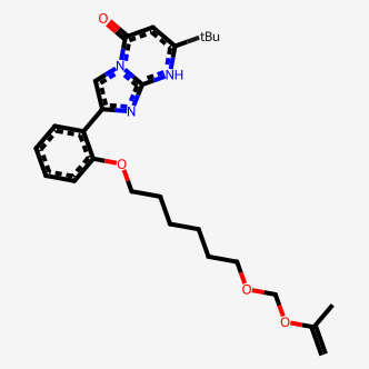 C=C(C)OCOCCCCCCOc1ccccc1-c1cn2c(=O)cc(C(C)(C)C)[nH]c2n1